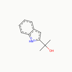 CC(C)(O)c1cc2cc[c]cc2[nH]1